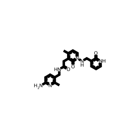 Cc1ccn(NCc2ccc[nH]c2=O)c(=O)c1CC(=O)NCc1ccc(N)nc1C